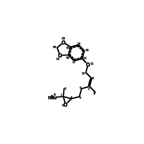 CCCCC1(C)OC1CCC(C)=CCOc1ccc2c(c1)OCO2